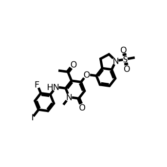 CC(=O)c1c(Oc2cccc3c2CCN3S(C)(=O)=O)cc(=O)n(C)c1Nc1ccc(I)cc1F